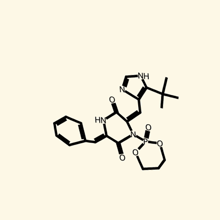 CC(C)(C)c1[nH]cnc1C=c1c(=O)[nH]/c(=C\c2ccccc2)c(=O)n1P1(=O)OCCCO1